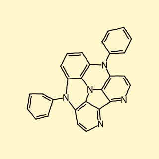 c1ccc(N2c3cccc4c3-n3c5c2ccnc5c2nccc(c23)N4c2ccccc2)cc1